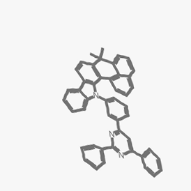 CC1(C)c2ccc3c4ccccc4n(-c4cccc(-c5cc(-c6ccccc6)nc(-c6ccccc6)n5)c4)c3c2-c2cccc3cccc1c23